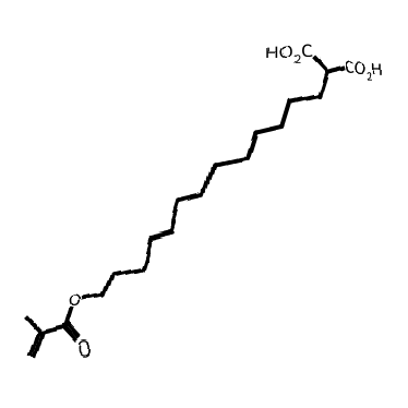 C=C(C)C(=O)OCCCCCCCCCCCCCC(C(=O)O)C(=O)O